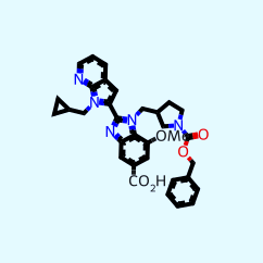 COc1cc(C(=O)O)cc2nc(-c3cc4cccnc4n3CC3CC3)n(CC3CCN(C(=O)OCc4ccccc4)C3)c12